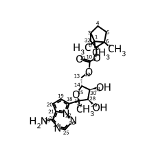 CC1(C)C2CCC1(C)C(OC(=O)OC[C@H]1O[C@@](C)(c3ccc4c(N)ncnn34)[C@H](O)[C@@H]1O)C2